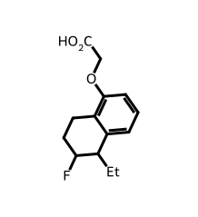 [CH2]CC1c2cccc(OCC(=O)O)c2CCC1F